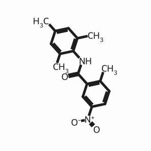 Cc1cc(C)c(NC(=O)c2cc([N+](=O)[O-])ccc2C)c(C)c1